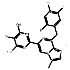 Cc1cnc2c(Cc3cc(F)c(Cl)cc3F)nc(-c3nc(O)c(F)c(O)n3)cn12